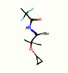 CC(F)(F)C(=O)NC(C(C)(C)C)C(C)(C)OC1CC1